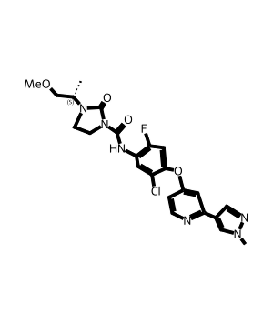 COC[C@H](C)N1CCN(C(=O)Nc2cc(Cl)c(Oc3ccnc(-c4cnn(C)c4)c3)cc2F)C1=O